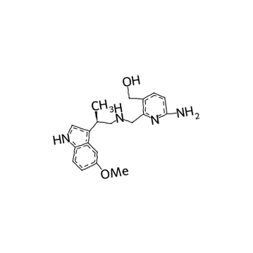 COc1ccc2[nH]cc([C@@H](C)CNCc3nc(N)ccc3CO)c2c1